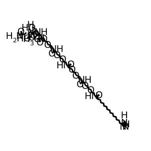 CC(=O)N(CC(=O)N[C@@H](CO)C(=O)N[C@@H](CCC(N)=O)C(=O)O)OCCOCCNC(=O)COCCOCCNC(=O)COCCOCCNC(=O)COCCOCCNC(=O)CCCCCCCCCCCCCCCc1nnn[nH]1